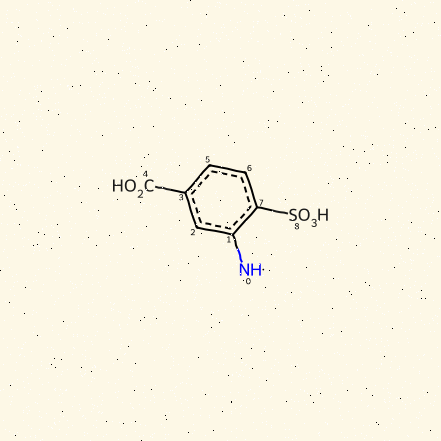 [NH]c1cc(C(=O)O)ccc1S(=O)(=O)O